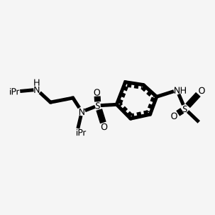 CC(C)NCCN(C(C)C)S(=O)(=O)c1ccc(NS(C)(=O)=O)cc1